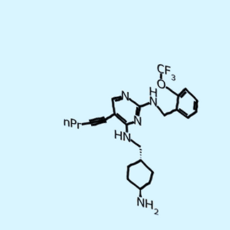 CCCC#Cc1cnc(NCc2ccccc2OC(F)(F)F)nc1NC[C@H]1CC[C@H](N)CC1